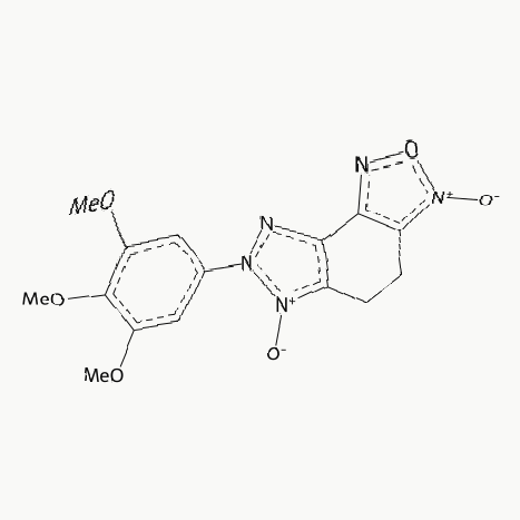 COc1cc(-n2nc3c([n+]2[O-])CCc2c-3no[n+]2[O-])cc(OC)c1OC